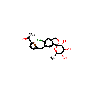 CNC(=O)c1ccc(Cc2cc3c(cc2Cl)CO[C@]32O[C@H](C)[C@@H](O)[C@H](O)[C@H]2O)s1